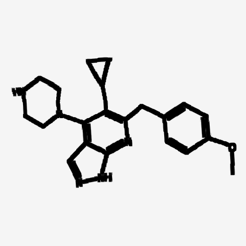 COc1ccc(Cc2nc3[nH]ncc3c(N3CCNCC3)c2C2CC2)cc1